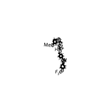 COc1ccc(C(C)C)c(N2C(=O)CS/C2=N\C(=S)NOCc2ccc(-c3ncn(-c4ccc(OC(F)(F)F)cc4)n3)cc2)c1